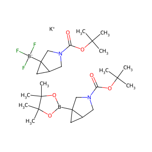 CC(C)(C)OC(=O)N1CC2CC2(B2OC(C)(C)C(C)(C)O2)C1.CC(C)(C)OC(=O)N1CC2CC2([B-](F)(F)F)C1.[K+]